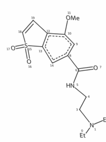 CCN(CC)CCNC(=O)c1cc(OC)c2c(c1)S(=O)(=O)C=C2